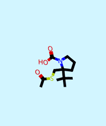 CC(=O)SCC1(C(C)(C)C)CCCN1C(=O)O